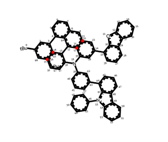 CC(C)(C)c1cc(-c2cccc3cccc(-c4ccccc4N(c4cccc(-c5cccc6c5oc5ccccc56)c4)c4cccc(-c5cccc6c7ccccc7n(-c7ccccc7)c56)c4)c23)cc(C(C)(C)C)c1